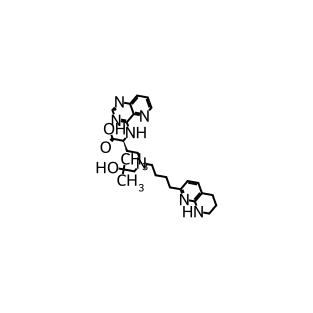 CC(C)(O)CN(CCCCc1ccc2c(n1)NCCC2)CC[C@H](Nc1ncnc2cccnc12)C(=O)O